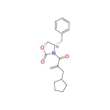 C=C(CC1CCCC1)C(=O)N1C(=O)OC[C@@H]1Cc1ccccc1